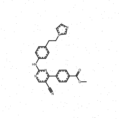 COC(=O)c1ccc(-c2nc(Nc3ccc(CCn4ccnc4)cc3)ncc2C#N)cc1